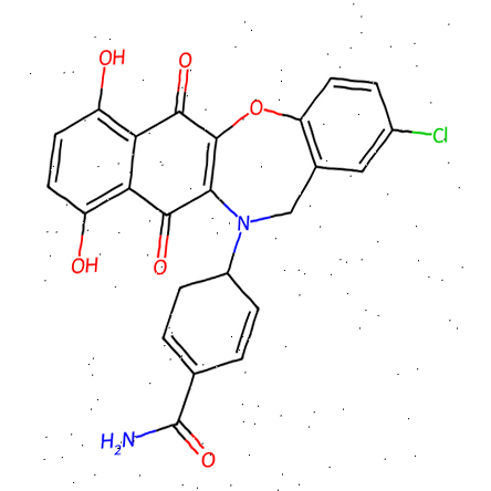 NC(=O)C1=CCC(N2Cc3cc(Cl)ccc3OC3=C2C(=O)c2c(O)ccc(O)c2C3=O)C=C1